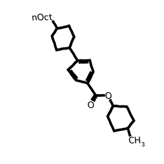 CCCCCCCCC1CCC(c2ccc(C(=O)OC3CCC(C)CC3)cc2)CC1